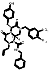 C=CCN1CC(=O)N2[C@@H](Cc3ccc(O)cc3)C(=O)N(Cc3ccc(N)c([N+](=O)[O-])c3)C[C@@H]2N1C(=O)NCc1ccccc1